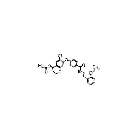 CCOc1ccccc1CCNC(=O)c1ccc(Oc2cc3c(cc2Cl)C(OC(=O)O)CCO3)cc1